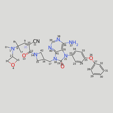 CN(C1COC1)C(C)(C)/C=C(/C#N)C(=O)N1CC(Cn2c(=O)n(-c3ccc(Oc4ccccc4)cc3)c3c(N)ncnc32)C1